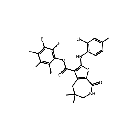 CC1(C)CNC(=O)c2sc(Nc3ccc(I)cc3Cl)c(C(=O)Oc3c(F)c(F)c(F)c(F)c3F)c2C1